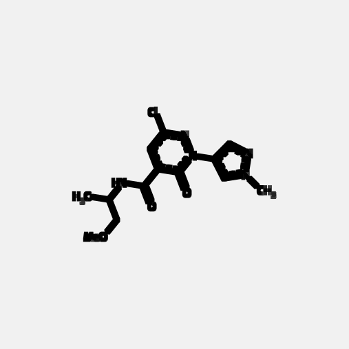 COCC(C)NC(=O)c1cc(Cl)nn(-c2cnn(C)c2)c1=O